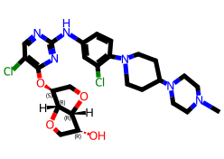 CN1CCN(C2CCN(c3ccc(Nc4ncc(Cl)c(O[C@H]5CO[C@H]6[C@@H]5OC[C@H]6O)n4)cc3Cl)CC2)CC1